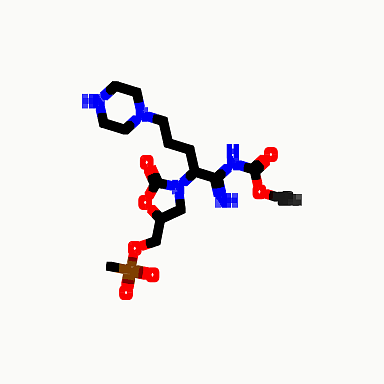 CC(C)(C)OC(=O)NC(=N)C(CCCN1CCNCC1)N1CC(COS(C)(=O)=O)OC1=O